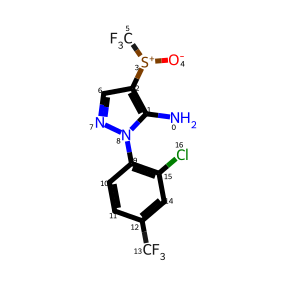 Nc1c([S+]([O-])C(F)(F)F)cnn1-c1ccc(C(F)(F)F)cc1Cl